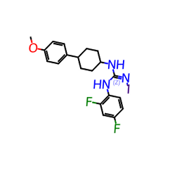 COc1ccc(C2CCC(N/C(=N/I)Nc3ccc(F)cc3F)CC2)cc1